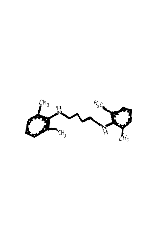 Cc1cccc(C)c1NCCCCNc1c(C)cccc1C